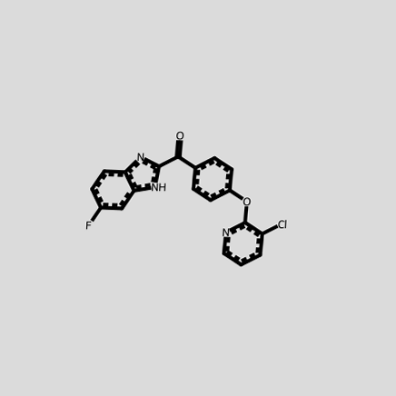 O=C(c1ccc(Oc2ncccc2Cl)cc1)c1nc2ccc(F)cc2[nH]1